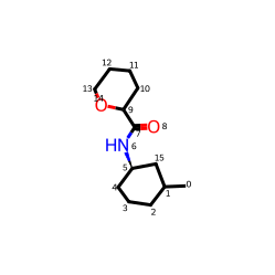 CC1CCC[C@@H](NC(=O)C2CCCCO2)C1